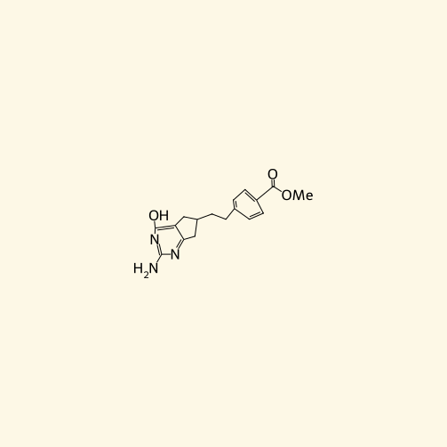 COC(=O)c1ccc(CCC2Cc3nc(N)nc(O)c3C2)cc1